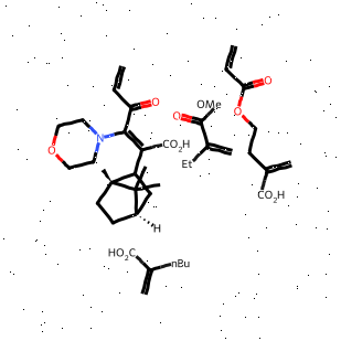 C=C(CC)C(=O)OC.C=C(CCCC)C(=O)O.C=CC(=O)C(=C(C(=O)O)C1C[C@H]2CC[C@@]1(C)C2(C)C)N1CCOCC1.C=CC(=O)OCCC(=C)C(=O)O